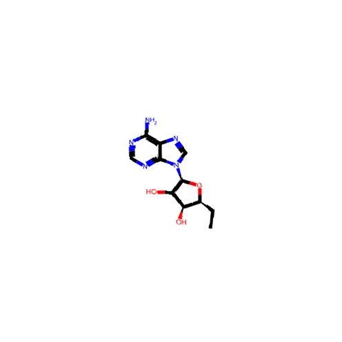 CC[C@@H]1O[C@H](n2cnc3c(N)ncnc32)C(O)[C@@H]1O